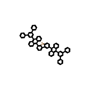 c1ccc(-c2cc(-c3ccccc3)cc(-c3c4ccccc4c(-c4ccc5sc6c(-c7c8ccccc8c(-c8cc(-c9ccccc9)cc(-c9ccccc9)c8)c8ccccc78)cccc6c5c4)c4ccccc34)c2)cc1